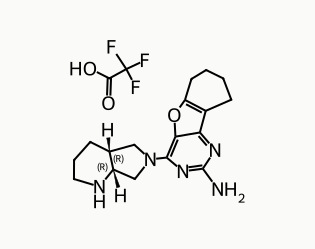 Nc1nc(N2C[C@H]3CCCN[C@H]3C2)c2oc3c(c2n1)CCCC3.O=C(O)C(F)(F)F